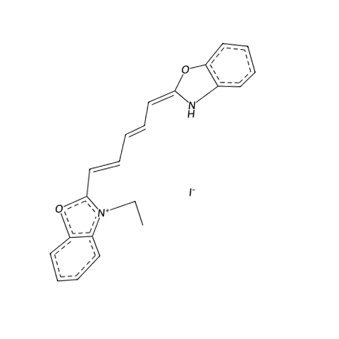 CC[n+]1c(C=CC=CC=C2Nc3ccccc3O2)oc2ccccc21.[I-]